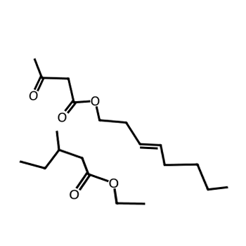 CCCCC=CCCOC(=O)CC(C)=O.CCOC(=O)CC(C)CC